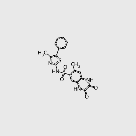 Cc1cc2[nH]c(=O)c(=O)[nH]c2cc1S(=O)(=O)Nc1nc(C)c(-c2ccccc2)s1